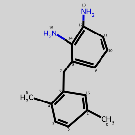 Cc1ccc(C)c(Cc2cccc(N)c2N)c1